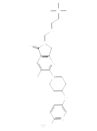 COc1ccc(OC2CCN(c3nc4c(cc3C)C(=O)N(COCC[Si](C)(C)C)C4)CC2)cn1